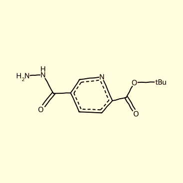 CC(C)(C)OC(=O)c1ccc(C(=O)NN)cn1